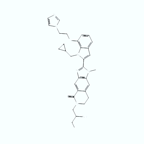 Cn1c(-c2cc3cccc(O[C@@H](F)Cn4ccnc4)c3n2CC2CC2)nc2cc3c(cc21)CCN(CC(N)CF)C3=O